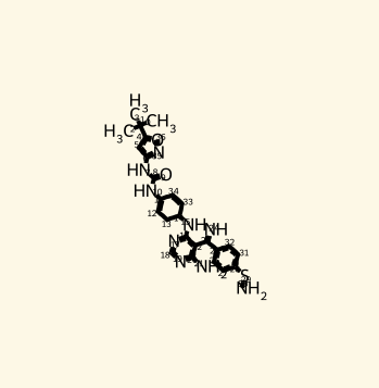 CC(C)(C)c1cc(NC(=O)NC2=CCC(Nc3ncnc(N)c3C(=N)c3ccc(SN)cc3)C=C2)no1